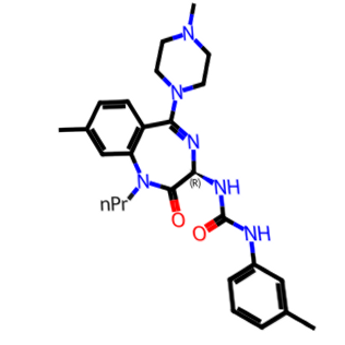 CCCN1C(=O)[C@H](NC(=O)Nc2cccc(C)c2)N=C(N2CCN(C)CC2)c2ccc(C)cc21